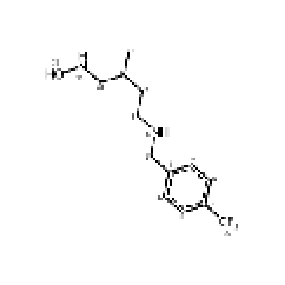 CC(CCNCc1ccc(C(F)(F)F)cc1)CNO